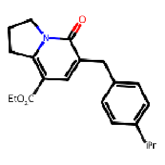 CCOC(=O)c1cc(Cc2ccc(C(C)C)cc2)c(=O)n2c1CCC2